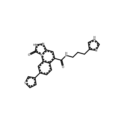 O=C(NCCCc1c[nH]cn1)c1cc2n[nH]c(=O)n2c2cc(-c3ccsc3)ccc12